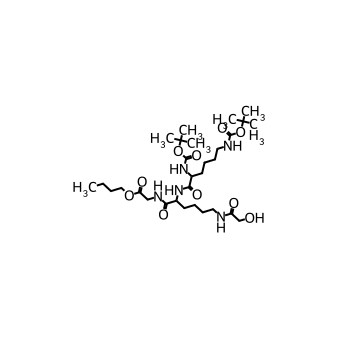 CCCCOC(=O)CNC(=O)C(CCCCNC(=O)CO)NC(=O)C(CCCCNC(=O)OC(C)(C)C)NC(=O)OC(C)(C)C